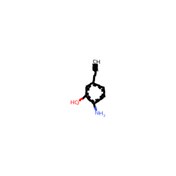 C#Cc1ccc(N)c(O)c1